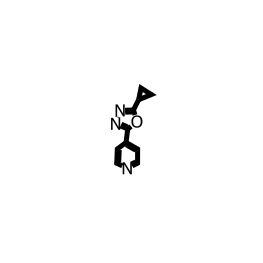 c1cc(-c2nnc(C3CC3)o2)ccn1